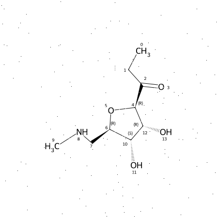 CCC(=O)[C@@H]1O[C@H](CNC)[C@@H](O)[C@H]1O